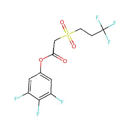 O=C(CS(=O)(=O)CCC(F)(F)F)Oc1cc(F)c(F)c(F)c1